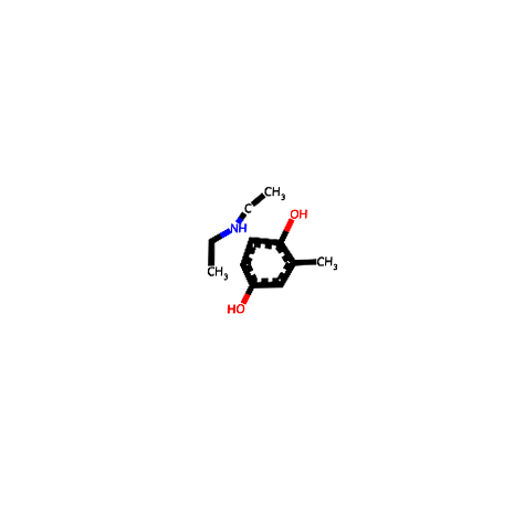 CCNCC.Cc1cc(O)ccc1O